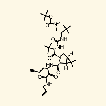 C#CCCC(NC(=O)[C@@H]1[C@@H]2[C@H](CN1C(=O)[C@@H](NC(=O)N[C@H](CN(C)C(=O)OC(C)(C)C)C(C)(C)C)C(C)(C)C)C2(C)C)C(=O)C(=O)NCC=C